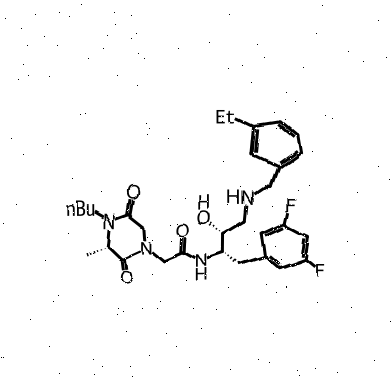 CCCCN1C(=O)CN(CC(=O)N[C@@H](Cc2cc(F)cc(F)c2)[C@H](O)CNCc2cccc(CC)c2)C(=O)[C@@H]1C